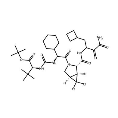 CC(C)(C)OC(=O)[C@@H](NC(=O)N[C@H](C(=O)N1C[C@H]2[C@@H]([C@H]1C(=O)NC(CC1CCC1)C(=O)C(N)=O)C2(Cl)Cl)C1CCCCC1)C(C)(C)C